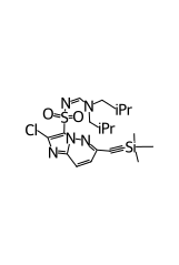 CC(C)CN(/C=N\S(=O)(=O)c1c(Cl)nc2ccc(C#C[Si](C)(C)C)nn12)CC(C)C